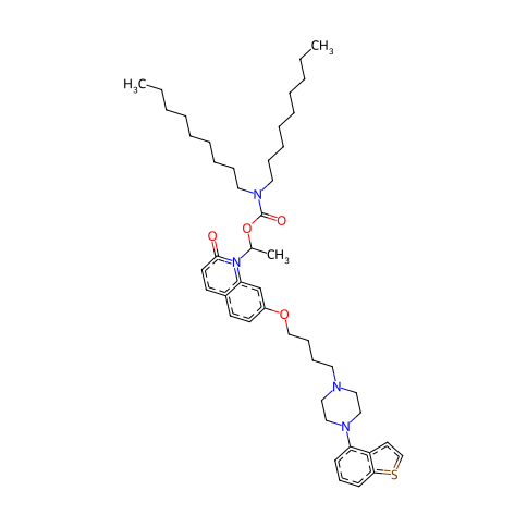 CCCCCCCCCN(CCCCCCCCC)C(=O)OC(C)n1c(=O)ccc2ccc(OCCCCN3CCN(c4cccc5sccc45)CC3)cc21